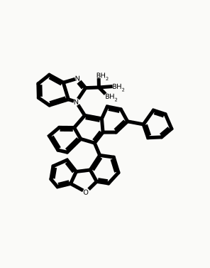 BC(B)(B)c1nc2ccccc2n1-c1c2ccccc2c(-c2cccc3oc4ccccc4c23)c2cc(-c3ccccc3)ccc12